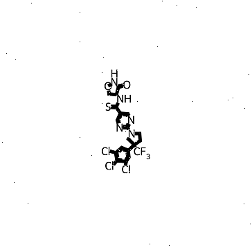 O=C1NOCC1NC(=S)c1cnc(N2CCC(c3cc(Cl)c(Cl)c(Cl)c3)(C(F)(F)F)C2)nc1